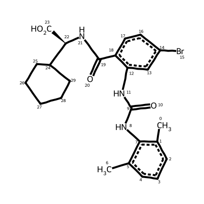 Cc1cccc(C)c1NC(=O)Nc1cc(Br)ccc1C(=O)N[C@H](C(=O)O)C1CCCCC1